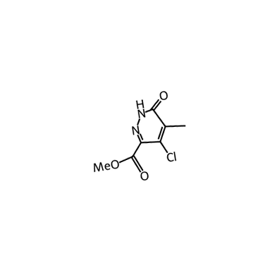 COC(=O)c1n[nH]c(=O)c(C)c1Cl